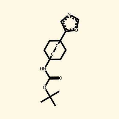 CC(C)(C)OC(=O)NC12CCC(c3cnco3)(CC1)CC2